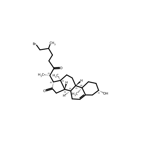 CC(CBr)CCC(=O)[C@@H](C)[C@H]1C(=O)C[C@H]2[C@@H]3CC=C4C[C@@H](O)CC[C@]4(C)[C@H]3CC[C@]12C